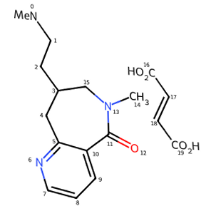 CNCCC1Cc2ncccc2C(=O)N(C)C1.O=C(O)/C=C/C(=O)O